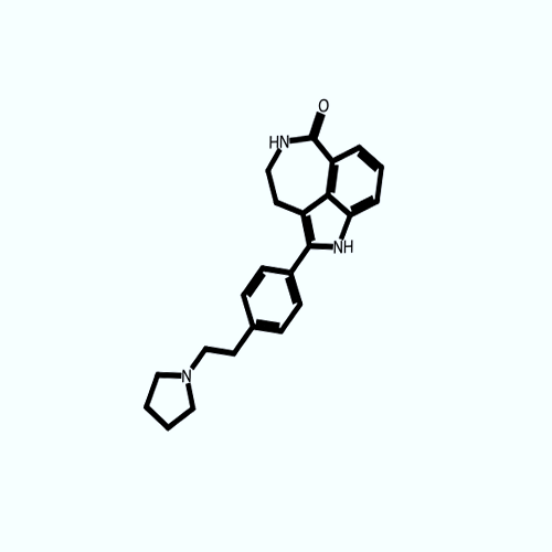 O=C1NCCc2c(-c3ccc(CCN4CCCC4)cc3)[nH]c3cccc1c23